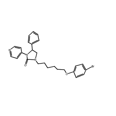 O=C1N(CCCCCCOc2ccc(Br)cc2)CC(c2ccccc2)N1c1ccncc1